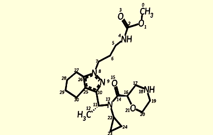 COC(=O)NCCCn1nc([C@@H](C)N(C(=O)[C@H]2CNCCO2)C2CC2)c2c1CCCC2